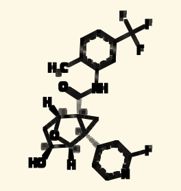 Cc1ccc(C(F)(F)F)cc1NC(=O)[C@]12C[C@@]1(c1ccnc(F)c1)[C@H]1O[C@@H]2C[C@@H]1O